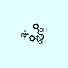 C[N+]1(C(CO)c2ccccc2)CC=CCC1C[C@H](O)c1ccccc1.F[B-](F)(F)F